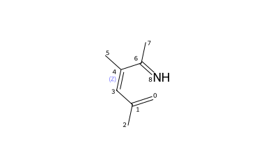 C=C(C)/C=C(/C)C(C)=N